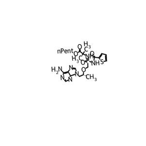 CCCCCOC(=O)C(C)(C)NP(=O)(CO[C@H](C)Cn1cnc2c(N)ncnc21)NC(=O)c1cccs1